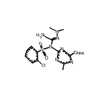 COc1nc(C)nc(N(C(N)=NN(C)C)S(=O)(=O)c2ccccc2Cl)n1